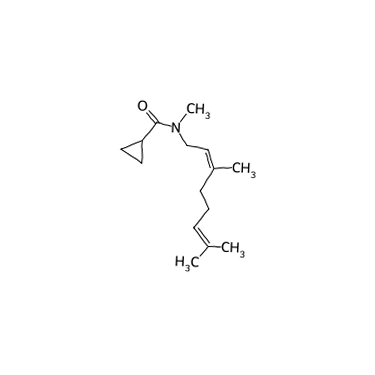 CC(C)=CCCC(C)=CCN(C)C(=O)C1CC1